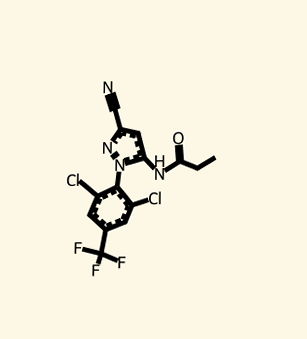 CCC(=O)Nc1cc(C#N)nn1-c1c(Cl)cc(C(F)(F)F)cc1Cl